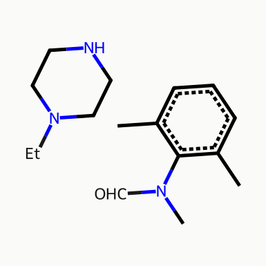 CCN1CCNCC1.Cc1cccc(C)c1N(C)C=O